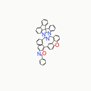 c1ccc(-c2nc(-c3cccc4oc5ccc(-c6cccc7nc(-c8ccccc8)oc67)cc5c34)nc(C3(c4ccccc4)c4ccccc4-c4ccccc43)n2)cc1